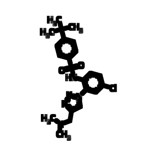 CN(C)Cc1cn(-c2cc(Cl)ccc2NS(=O)(=O)c2ccc(C(C)(C)C)cc2)nn1